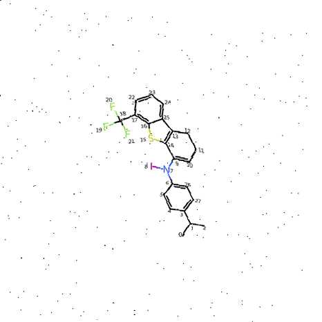 CC(C)c1ccc(N(I)C2=CCCc3c2sc2c(C(F)(F)F)cccc32)cc1